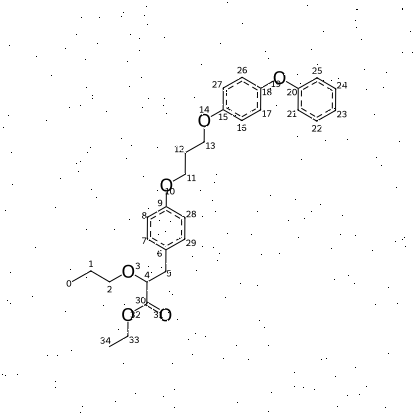 CCCOC(Cc1ccc(OCCCOc2ccc(Oc3ccccc3)cc2)cc1)C(=O)OCC